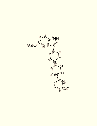 COc1ccc2[nH]cc(C3=CCC(N4CCN(c5cccc(Cl)n5)CC4)CC3)c2c1